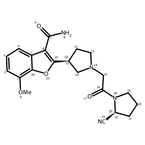 COc1cccc2c(C(N)=O)c([C@H]3CCN(CC(=O)N4CCC[C@H]4C#N)C3)oc12